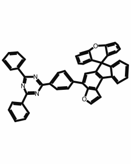 c1ccc(-c2nc(-c3ccccc3)nc(-c3ccc(-c4cc5c(c6ccoc46)-c4ccccc4C54c5ccccc5Oc5ccccc54)cc3)n2)cc1